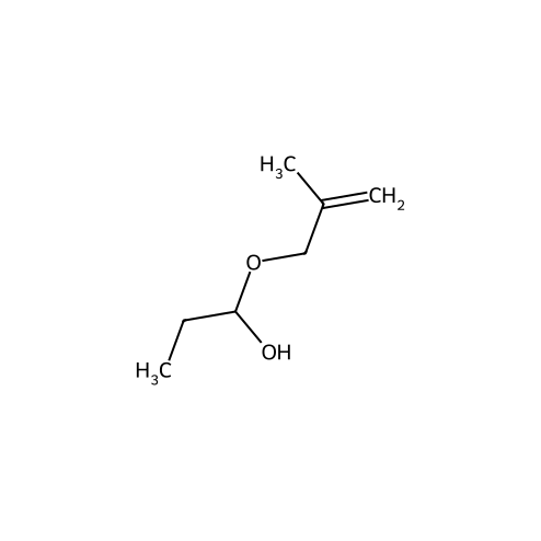 C=C(C)COC(O)CC